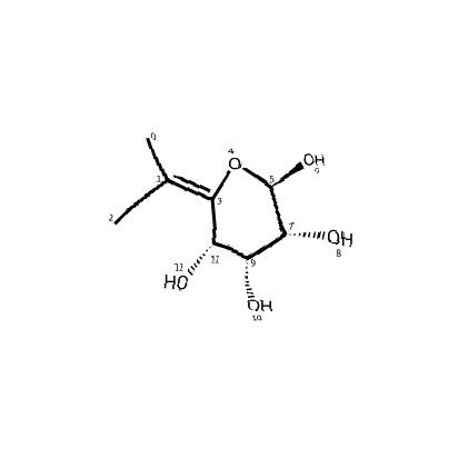 CC(C)=C1O[C@@H](O)[C@H](O)[C@H](O)[C@@H]1O